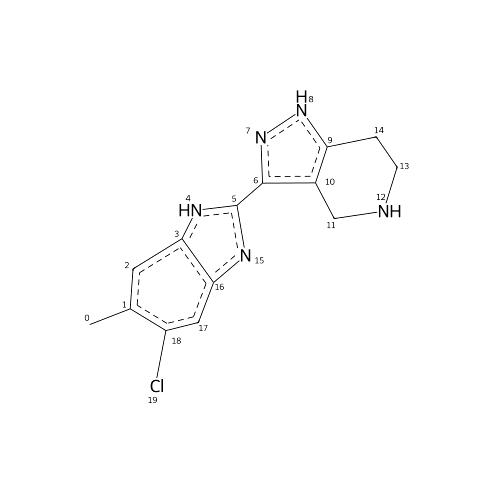 Cc1cc2[nH]c(-c3n[nH]c4c3CNCC4)nc2cc1Cl